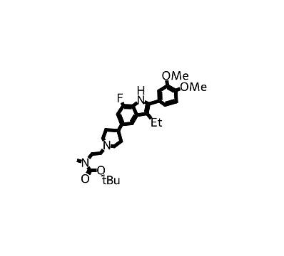 CCc1c(-c2ccc(OC)c(OC)c2)[nH]c2c(F)cc(C3CCN(CCN(C)C(=O)OC(C)(C)C)CC3)cc12